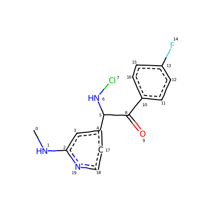 CNc1cc(C(NCl)C(=O)c2ccc(F)cc2)ccn1